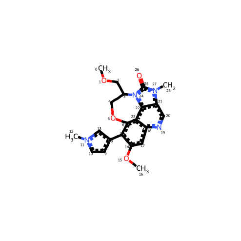 COCC1COc2c(-c3ccn(C)c3)c(OC)cc3ncc4c(c23)n1c(=O)n4C